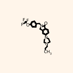 CCCN1CCN(c2ccc3c(c2)CN(Cc2ccc(OC(F)(F)F)cc2)C3=O)CC1